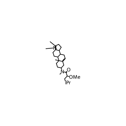 COC(CC(C)C)C(=O)N(C)C1CCC2(C)C(=CCC3C2CCC24CN(C)C(C)C2CCC34)C1